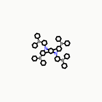 c1ccc(B(c2ccccc2)c2cccc(-n3c4ccc(B(c5ccccc5)c5ccccc5)cc4c4cc5c(cc43)c3cc(B(c4ccccc4)c4ccccc4)ccc3n5-c3cccc(B(c4ccccc4)c4ccccc4)c3)c2)cc1